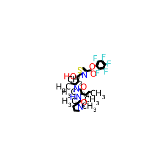 CC[C@H](C)[C@H](NC(=O)[C@@]1(C)CCCN1C)C(=O)N(C)C(C[C@H](O)c1nc(C(=O)Oc2c(F)c(F)c(F)c(F)c2F)cs1)C(C)C